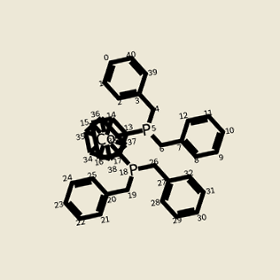 c1ccc(CP(Cc2ccccc2)[C]23[CH]4[CH]5[CH]6[C]2(P(Cc2ccccc2)Cc2ccccc2)[Co]54632789[CH]3[CH]2[CH]7[CH]8[CH]39)cc1